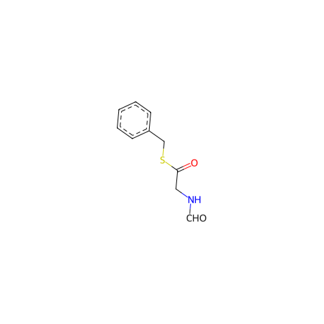 O=CNCC(=O)SCc1ccccc1